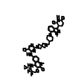 Cn1nc(C2CCC(=O)NC2=O)c2cccc(N3CCC(CN4CC5(C4)CN(c4ncc(Cl)c(Nc6ccc7c(c6)c6c(c(=O)n7C)OCC(F)(F)[C@H](C7CC7)N6)n4)C5)CC3)c21